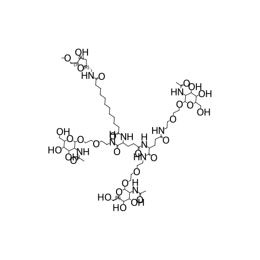 COC[C@@H]1O[C@@H](CNC(=O)CCCCCCCCCCC(=O)NC(CCC(=O)NC(CCC(=O)NCCOCCOC2OC(CO)C(O)C(O)C2NC(C)=O)C(=O)NCCOCCOC2O[C@H](CO)C(O)C(O)C2NC(C)=O)C(=O)NCCOCCOC2OC(CO)C(O)C(O)C2NC(C)=O)C[C@H]1O